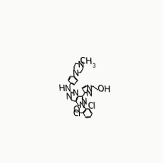 CN1CCN(c2ccc(Nc3ncc4c(=O)n(-c5c(Cl)cccc5Cl)nc(-c5ccn(CCO)n5)c4n3)cc2)CC1